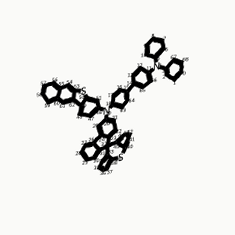 c1ccc(N(c2ccccc2)c2ccc(-c3ccc(N(c4ccc5c(c4)-c4ccccc4C54c5ccccc5Sc5ccccc54)c4ccc5c(c4)sc4cc6ccccc6cc45)cc3)cc2)cc1